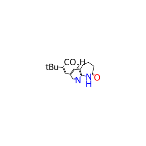 CC(C)(C)C(=Cc1cnc2c(c1)CCCC(=O)N2)C(=O)O